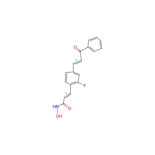 O=C(/C=C/c1ccc(/C=C/C(=O)c2ccccc2)cc1F)NO